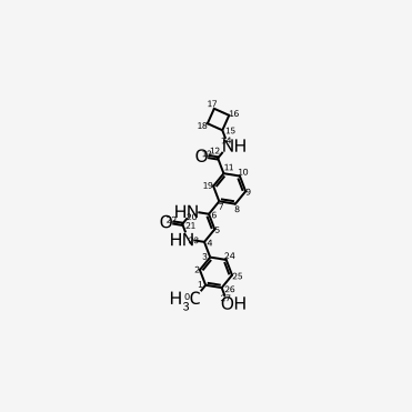 Cc1cc(C2C=C(c3cccc(C(=O)NC4CCC4)c3)NC(=O)N2)ccc1O